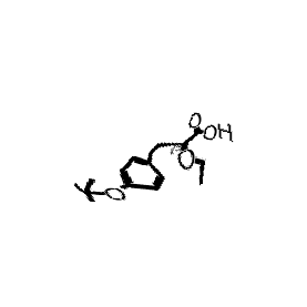 CCO[C@@H](Cc1ccc(OC(C)(C)C)cc1)C(=O)O